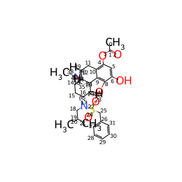 CC(=O)Oc1cc(O)c2c3c1C[C@@H]1[C@@H]4CC[C@@H](N(CC(C)C)S(=O)(=O)Cc5ccccc5)[C@H](O2)[C@]34CCN1C